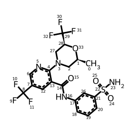 C[C@H]1CN(c2ncc(C(F)(F)F)cc2C(=O)Nc2cccc(S(N)(=O)=O)c2)C[C@@H](C(F)(F)F)O1